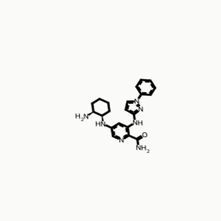 NC(=O)c1ncc(N[C@@H]2CCCC[C@@H]2N)cc1Nc1ccn(-c2ccccc2)n1